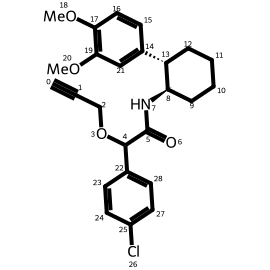 C#CCOC(C(=O)N[C@@H]1CCCC[C@H]1c1ccc(OC)c(OC)c1)c1ccc(Cl)cc1